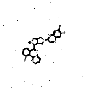 O=C(c1cccc(F)c1-c1ncccn1)C1NCC2CN(c3cnc4cc(F)c(F)cc4n3)CC21